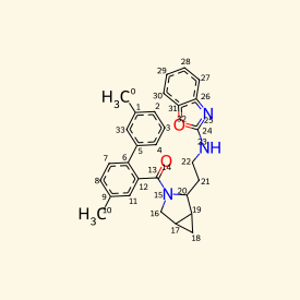 Cc1cccc(-c2ccc(C)cc2C(=O)N2CC3CC3C2CCNc2nc3ccccc3o2)c1